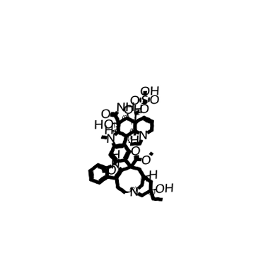 CC[C@]1(O)C[C@H]2C[N@](CCc3c([nH]c4ccccc34)C(C(=O)OC)(c3cc4c(cc3OC)N(C)[C@H]3[C@@](O)(C(N)=O)[C@H](O)[C@]5(COS(=O)(=O)O)C=CCN6CC[C@]43[C@@H]65)C2)C1